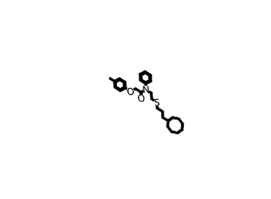 Cc1ccc(OCC(=O)N(CCSCCCC2CCCCCCC2)c2ccccc2)cc1